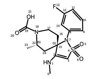 CNC1=CS(=O)(=O)N(c2cccc(F)c2)[C@]12CCN(C(=O)O)[C@@H](C)C2